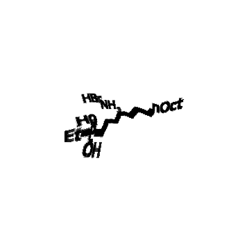 Br.CCCCCCCCCCCCCCC[PH](O)(O)CC.N